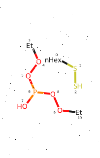 CCCCCCSS.CCOOP(O)OOCC